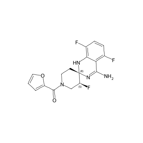 NC1=N[C@@]2(CCN(C(=O)c3ccco3)C[C@@H]2F)Nc2c(F)ccc(F)c21